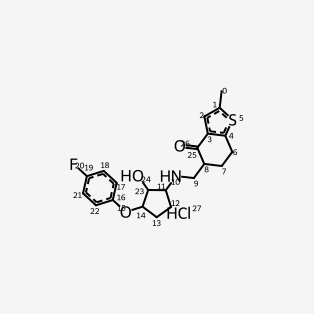 Cc1cc2c(s1)CCC(CNC1CCC(Oc3ccc(F)cc3)C1O)C2=O.Cl